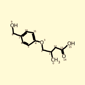 CC(COc1ccc(CO)cc1)CC(=O)O